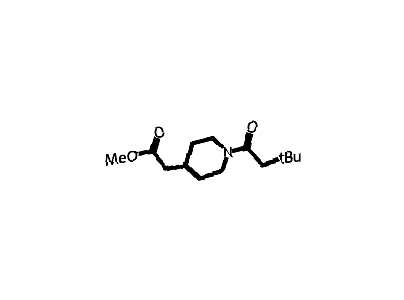 COC(=O)CC1CCN(C(=O)CC(C)(C)C)CC1